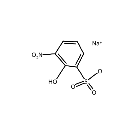 O=[N+]([O-])c1cccc(S(=O)(=O)[O-])c1O.[Na+]